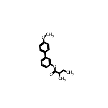 CCC(C)C(=O)Oc1cccc(-c2ccc(OC)cc2)c1